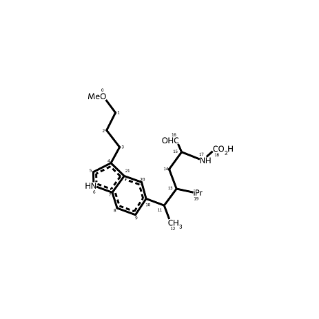 COCCCc1c[nH]c2ccc(C(C)C(CC(C=O)NC(=O)O)C(C)C)cc12